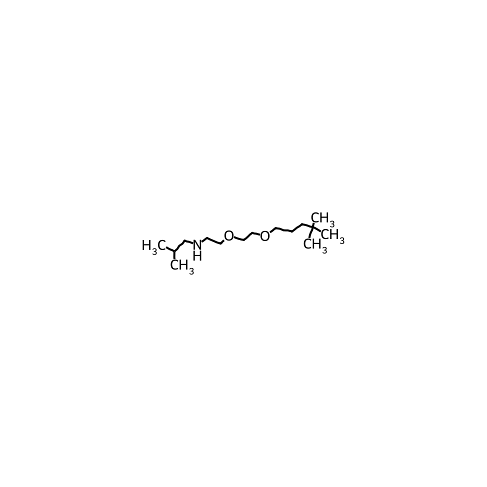 CC(C)CNCCOCCOCCCC(C)(C)C